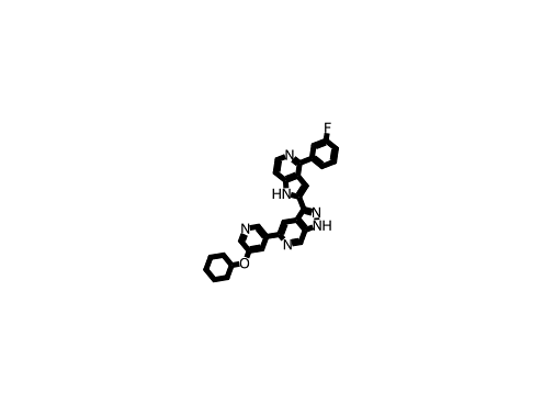 Fc1cccc(-c2nccc3[nH]c(-c4n[nH]c5cnc(-c6cncc(OC7CCCCC7)c6)cc45)cc23)c1